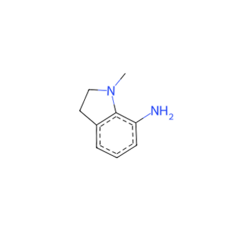 CN1CCc2cccc(N)c21